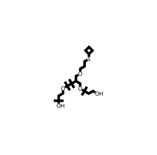 CC(C)(O)CCOC(C)(C)C(C)(C)C(COCCCSC1CCC1)COC(C)(C)CCO